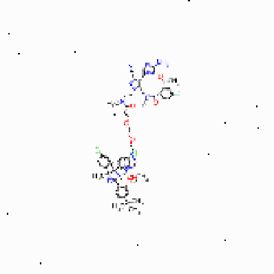 CCOc1cc(C(C)(C)C)ccc1C1=N[C@](C)(c2ccc(Cl)cc2)[C@](C)(c2ccc(Cl)cc2)N1C(O)N1CCN(CCOCCOCCC(=O)N(C)CCn2nc(C#N)c3c2CN(C)C(=O)c2ccc(F)cc2[C@@H](C)Oc2nc-3cnc2N)CC1